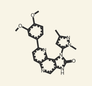 COc1ccc(-c2ccc3ncc4[nH]c(=O)n(-c5cc(C)nn5C)c4c3n2)cc1OC